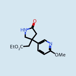 CCOC(=O)CC1(c2ccc(OC)nc2)CNC(=O)C1